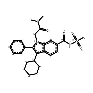 CN(C)C(=O)Cn1c(-c2ccccc2)c(C2CCCCC2)c2ccc(C(=O)NS(C)(=O)=O)cc21